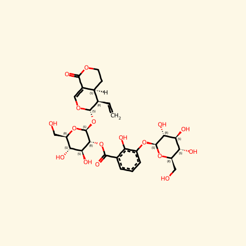 C=C[C@H]1[C@H](O[C@@H]2O[C@H](CO)[C@@H](O)[C@H](O)[C@H]2OC(=O)c2cccc(O[C@@H]3O[C@H](CO)[C@@H](O)[C@H](O)[C@H]3O)c2O)OC=C2C(=O)OCC[C@H]21